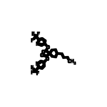 CCCCC1CCC(C(=O)Oc2ccc(C(F)(F)F)nc2)(C(=O)Oc2ccc(C(F)(F)F)nc2)CC1